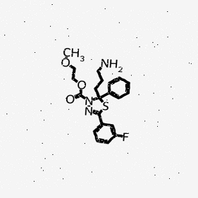 COCCOC(=O)N1N=C(c2cccc(F)c2)SC1(CCCN)c1ccccc1